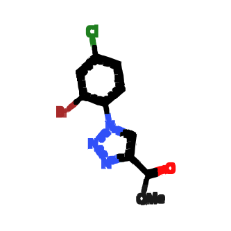 COC(=O)c1cn(-c2ccc(Cl)cc2Br)nn1